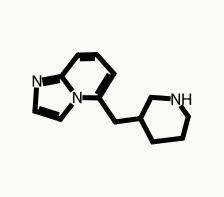 c1cc(CC2CCCNC2)n2ccnc2c1